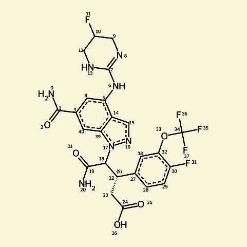 NC(=O)c1cc(NC2=NCC(F)CN2)c2cnn(C(C(N)=O)[C@@H](CC(=O)O)c3ccc(F)c(OC(F)(F)F)c3)c2c1